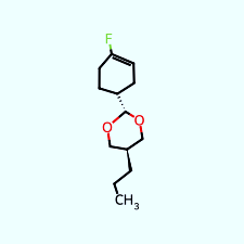 CCC[C@H]1CO[C@H](C2CC=C(F)CC2)OC1